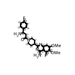 COc1cc2nc(C3CCN(C(=O)C[C@@H](N)c4ccc(F)cc4)CC3)nc(N)c2c(F)c1OC